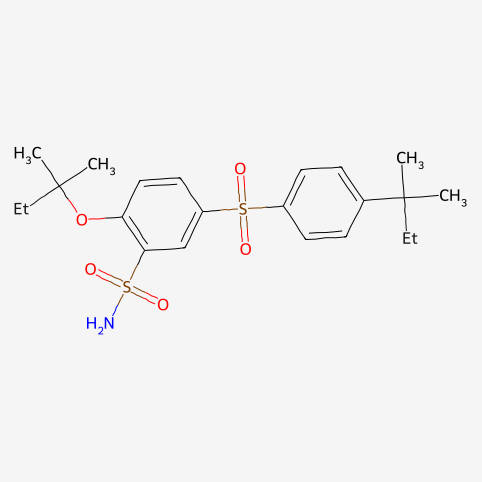 CCC(C)(C)Oc1ccc(S(=O)(=O)c2ccc(C(C)(C)CC)cc2)cc1S(N)(=O)=O